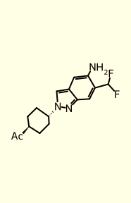 CC(=O)[C@H]1CC[C@H](n2cc3cc(N)c(C(F)F)cc3n2)CC1